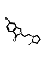 C[C@@H]1CCCN1CCN1Cc2cc(Br)ccc2C1=O